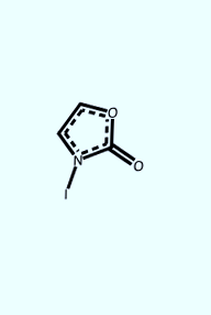 O=c1occn1I